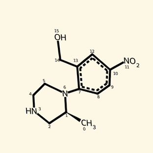 C[C@H]1CNCCN1c1ccc([N+](=O)[O-])cc1CO